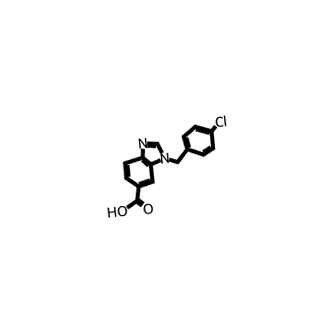 O=C(O)c1ccc2ncn(Cc3ccc(Cl)cc3)c2c1